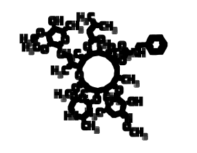 CON=C1C[C@@H](C)O[C@@H](OC2C(C)CC(C)(OC(=O)NCc3ccccc3)C(=O)C(C)C(OC(=O)CC(C)C)C(C)C(C(C)CO[C@@H]3O[C@H](C)[C@@H](O)[C@@H](OC)[C@H]3OC)OC(=O)C(C)C(O[C@H]3C[C@@H](C)NC[C@H](C)O3)C2C)[C@@H]1O